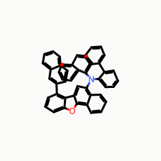 c1ccc(-c2ccccc2N(c2cccc3ccccc23)c2cc3c(oc4cccc(-c5ccc6ccccc6c5)c43)c3ccccc23)cc1